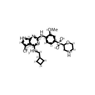 COc1cc(S(=O)(=O)C2CNCCO2)ccc1Nc1nc(NCC2CCC2)c2c(C(F)(F)F)c[nH]c2n1